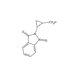 O=C(O)C1CC1N1C(=O)c2ccccc2C1=O